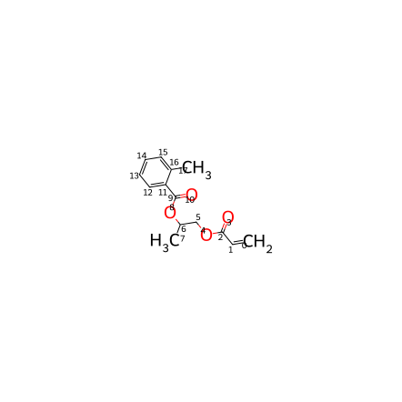 C=CC(=O)OCC(C)OC(=O)c1ccccc1C